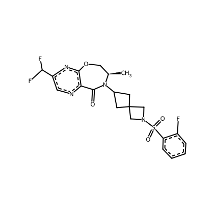 C[C@@H]1COc2nc(C(F)F)cnc2C(=O)N1C1CC2(C1)CN(S(=O)(=O)c1ccccc1F)C2